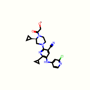 COCC(=O)N1CCN(c2nc(C3CC3)c(Nc3ccnc(Cl)c3)cc2C#N)C[C@H]1C1CC1